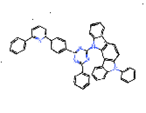 c1ccc(-c2cccc(-c3ccc(-c4nc(-c5ccccc5)nc(-n5c6ccccc6c6ccc7c(c8ccccc8n7-c7ccccc7)c65)n4)cc3)n2)cc1